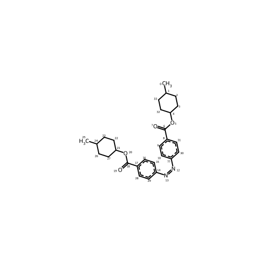 CC1CCC(OC(=O)c2ccc(/N=N\c3ccc(C(=O)OC4CCC(C)CC4)cc3)cc2)CC1